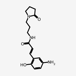 Nc1ccc(O)c(C=CC(=O)NCCCN2CCCC2=O)c1